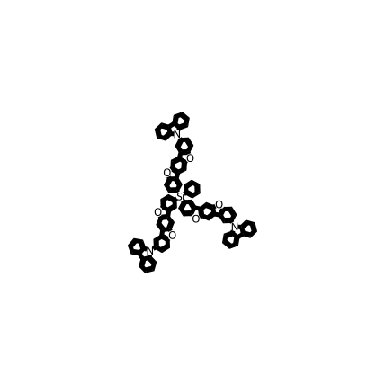 c1ccc([Si](c2ccc3oc4cc5c(cc4c3c2)oc2ccc(-n3c4ccccc4c4ccccc43)cc25)(c2ccc3oc4cc5c(cc4c3c2)oc2ccc(-n3c4ccccc4c4ccccc43)cc25)c2ccc3oc4cc5c(cc4c3c2)oc2ccc(-n3c4ccccc4c4ccccc43)cc25)cc1